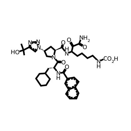 CC(C)(O)c1cn([C@@H]2C[C@@H](C(=O)NC(CCCCNC(=O)O)C(=O)C(N)=O)N(C(=O)[C@@H](CC3CCCCC3)NC(=O)c3ccc4ccccc4c3)C2)nn1